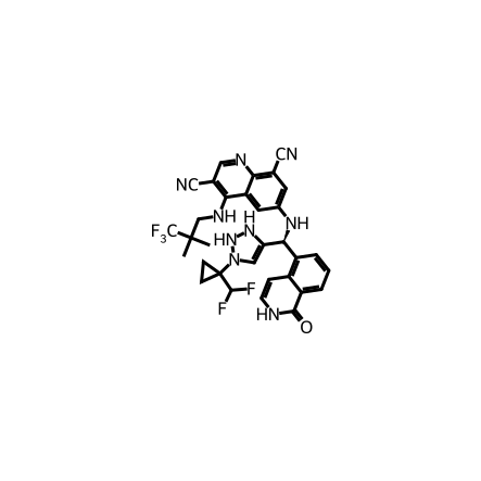 CC(C)(CNc1c(C#N)cnc2c(C#N)cc(N[C@H](C3=CN(C4(C(F)F)CC4)NN3)c3cccc4c(=O)[nH]ccc34)cc12)C(F)(F)F